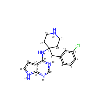 Clc1cccc(CC2(Nc3ncnc4[nH]ccc34)CCNCC2)c1